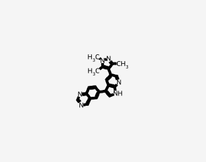 Cc1nn(C)c(C)c1-c1cnc2[nH]cc(-c3ccc4ncncc4c3)c2c1